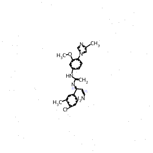 C=C(/N=C(\C=C/N)c1ccc(Cl)c(C)c1)Nc1ccc(-n2cnc(C)c2)c(OC)c1